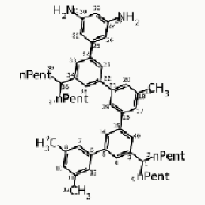 CCCCCC(CCCCC)c1cc(-c2cc(C)cc(C)c2)cc(-c2cc(C)cc(-c3cc(-c4cc(N)cc(N)c4)cc(C(CCCCC)CCCCC)c3)c2)c1